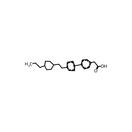 CCCC1CCC(CCc2ccc(-c3ccc(CC(=O)O)cc3)cc2)CC1